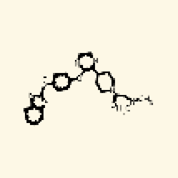 CN(C)CC(=O)N1CCC(c2nccnc2Oc2ccc(Nc3nc4ccccc4s3)cc2)CC1